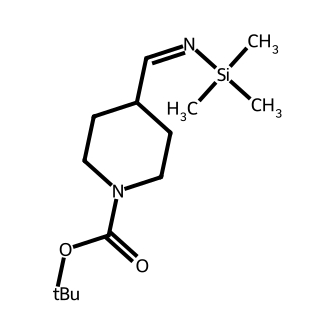 CC(C)(C)OC(=O)N1CCC(/C=N\[Si](C)(C)C)CC1